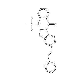 CS(=O)(=O)Nc1ccccc1C(=O)N1CCc2cc(SCc3ccccc3)ccc21